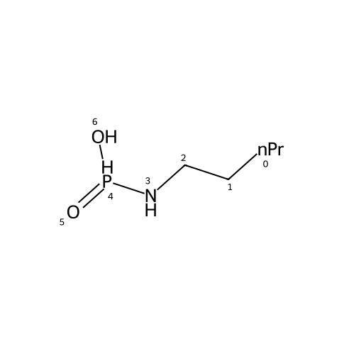 CCCCCN[PH](=O)O